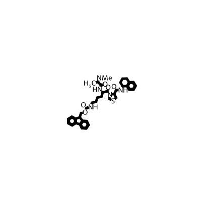 CNC(C)C(=O)NC(CCCCNC(=O)OCC1c2ccccc2-c2ccccc21)C(=O)N1CSCC1C(=O)NC1CCCc2ccccc21